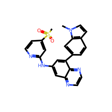 Cn1ccc2ccc(-c3cc(Nc4cc(S(C)(=O)=O)ccn4)cc4nccnc34)cc21